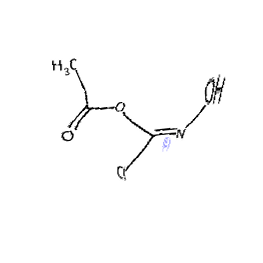 CC(=O)O/C(Cl)=N\O